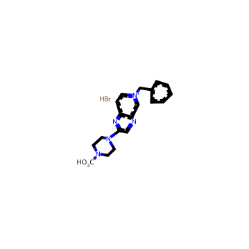 Br.O=C(O)N1CCN(c2cnc3c[n+](Cc4ccccc4)ccc3n2)CC1